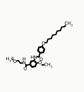 CCCCCCCCCCOc1ccc(C(=O)Nc2cc(C(=O)NCCOC)ccc2OCC)cc1